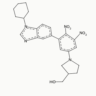 O=[N+]([O-])c1cc(N2CCC(CO)C2)cc(-c2ccc3c(c2)ncn3C2CCCCC2)c1[N+](=O)[O-]